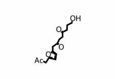 CC(=O)Cc1ccc(CC(=O)CCC(=O)CCCO)o1